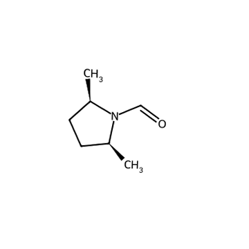 C[C@@H]1CC[C@H](C)N1C=O